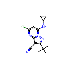 CC(C)(C)c1nn2c(NC3CC3)cc(Cl)nc2c1C#N